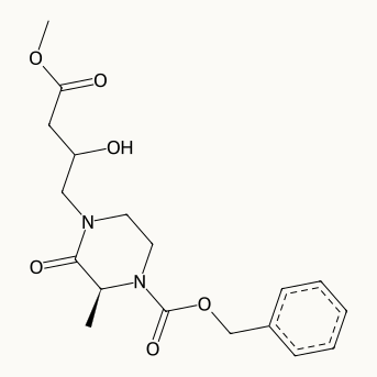 COC(=O)CC(O)CN1CCN(C(=O)OCc2ccccc2)[C@@H](C)C1=O